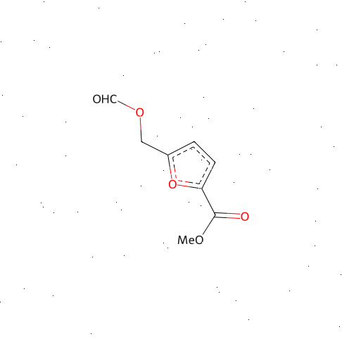 COC(=O)c1ccc(COC=O)o1